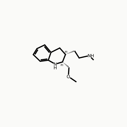 CNCC[C@H]1Cc2ccccc2N[C@H]1COC